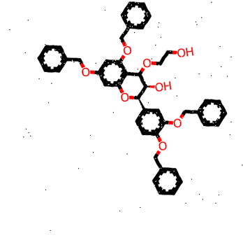 OCCOC1c2c(OCc3ccccc3)cc(OCc3ccccc3)cc2O[C@H](c2ccc(OCc3ccccc3)c(OCc3ccccc3)c2)[C@@H]1O